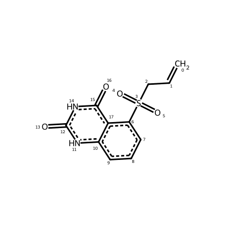 C=CCS(=O)(=O)c1cccc2[nH]c(=O)[nH]c(=O)c12